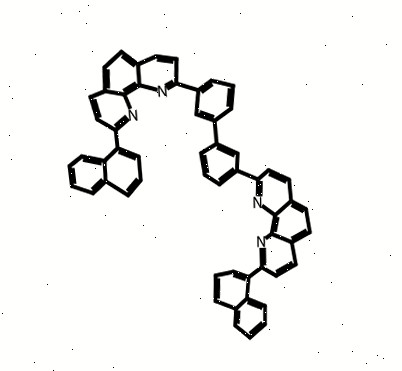 c1cc(-c2cccc(-c3ccc4ccc5ccc(-c6cccc7ccccc67)nc5c4n3)c2)cc(-c2ccc3ccc4ccc(-c5cccc6ccccc56)nc4c3n2)c1